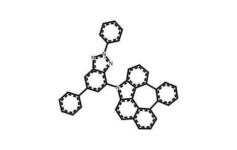 c1ccc(-c2cc(-n3c4cccc5c4c4c6c(cccc6ccc43)-c3ccccc3-5)c3nn(-c4ccccc4)nc3c2)cc1